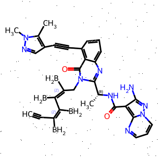 B/C(C#C)=C(B)/C(B)=C(/B)Cn1c([C@@H](C)NC(=O)c2c(N)nn3cccnc23)nc2cccc(C#Cc3cnn(C)c3C)c2c1=O